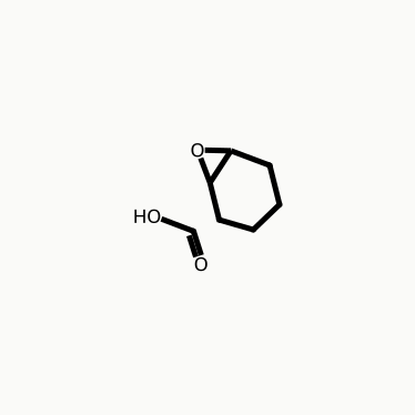 C1CCC2OC2C1.O=CO